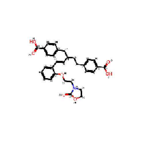 O=C(O)c1ccc(CCC(C=Cc2ccccc2OCCN2CCOC2=O)Cc2ccc(C(=O)O)cc2)cc1